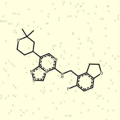 CC1(C)CC(c2cnc(NCc3c(F)ccc4c3CCO4)n3cnnc23)CCO1